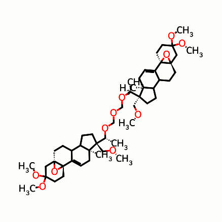 COC[C@@]1([C@H](C)OCOCO[C@H](C)[C@@]2(COC)CCC3C4CC[C@]56CC(OC)(OC)CC[C@]5(O6)C4=CC[C@@]32C)CCC2C3CC[C@@]45CC(OC)(OC)CC[C@@]4(O5)C3=CC[C@@]21C